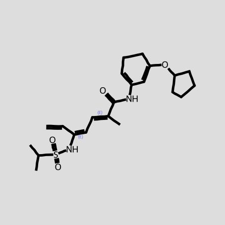 C=C/C(=C\C=C(/C)C(=O)NC1=CCCC(OC2CCCC2)=C1)NS(=O)(=O)C(C)C